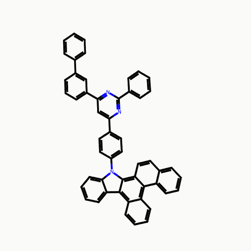 c1ccc(-c2cccc(-c3cc(-c4ccc(-n5c6ccccc6c6c7ccccc7c7c8ccccc8ccc7c65)cc4)nc(-c4ccccc4)n3)c2)cc1